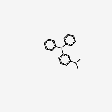 CN(C)c1ccnc(P(c2ccccc2)c2ccccc2)c1